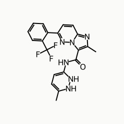 CC1=CC=C(NC(=O)c2c(C)nc3ccc(-c4ccccc4C(F)(F)F)nn23)NN1